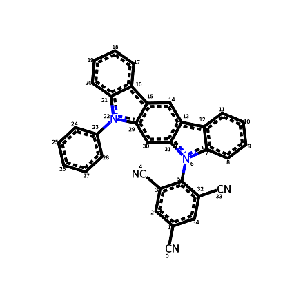 N#Cc1cc(C#N)c(-n2c3ccccc3c3cc4c5ccccc5n(-c5ccccc5)c4cc32)c(C#N)c1